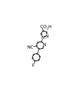 N#Cc1cc(-n2cc(C(=O)O)cn2)ncc1-c1ccc(F)cc1